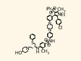 CCn1c(C)c(S(=O)(=O)C(C)C)c(-c2cccc(N3CCN(c4ccc(NS(=O)(=O)c5ccc(N[C@H](CCN6CCC(O)CC6)CSc6ccccc6)c(C)c5)cc4)CC3)c2)c1-c1ccc(Cl)cc1